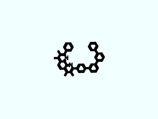 Cc1c(-c2ccccc2)nc2c(ccc3c(C)c(C)c(-c4ccc(-c5cccc(-c6cccc(-c7ccccc7)c6)c5)cc4)nc32)c1C